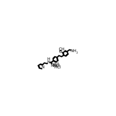 COc1cc(CN)ccc1CCc1ccc(C(=N)NCCc2ccccn2)cc1.Cl.Cl.Cl